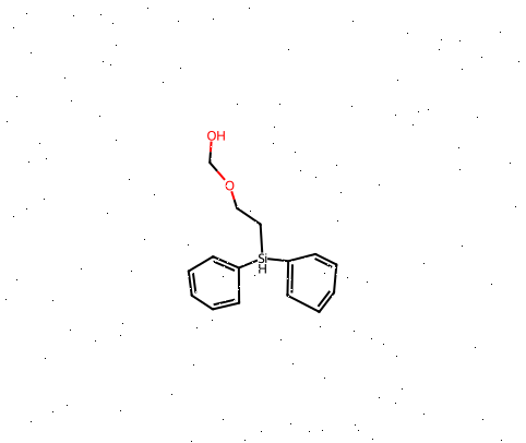 OCOCC[SiH](c1ccccc1)c1ccccc1